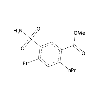 CCCc1cc(CC)c(S(N)(=O)=O)cc1C(=O)OC